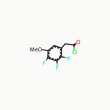 COc1cc(CC(=O)Cl)c(F)c(F)c1F